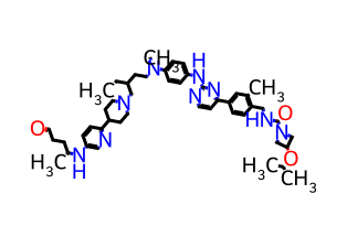 CCC(CCN(C)c1ccc(Nc2nccc(-c3ccc(CNC(=O)N4CC(OC(C)C)C4)c(C)c3)n2)cc1)CN1CCC(c2ccc(NC(C)CCC=O)cn2)CC1